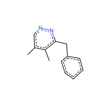 Cc1cnnc(Cc2ccccc2)c1C